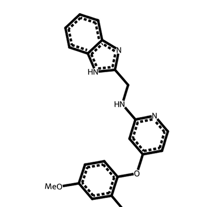 COc1ccc(Oc2ccnc(NCc3nc4ccccc4[nH]3)c2)c(C)c1